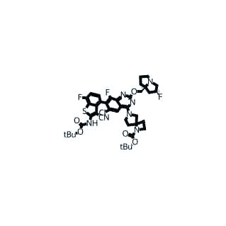 CC(C)(C)OC(=O)Nc1sc2c(F)ccc(-c3c(Cl)cc4c(N5CCC6(CCN6C(=O)OC(C)(C)C)C5)nc(OC[C@@]56CCCN5C[C@H](F)C6)nc4c3F)c2c1C#N